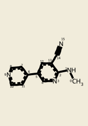 CNc1ncc(-c2ccncc2)cc1C#N